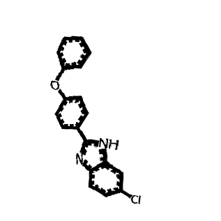 Clc1ccc2nc(-c3ccc(Oc4ccccc4)cc3)[nH]c2c1